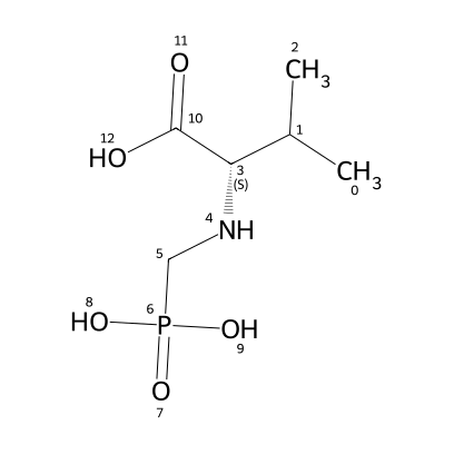 CC(C)[C@H](NCP(=O)(O)O)C(=O)O